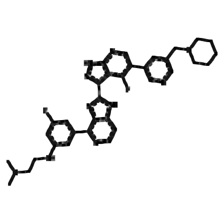 CN(C)CCNc1cc(F)cc(-c2nccc3[nH]c(-c4n[nH]c5ncc(-c6cncc(CN7CCCCC7)c6)c(F)c45)nc23)c1